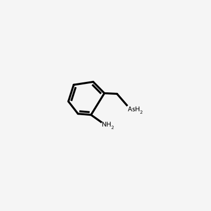 Nc1ccccc1C[AsH2]